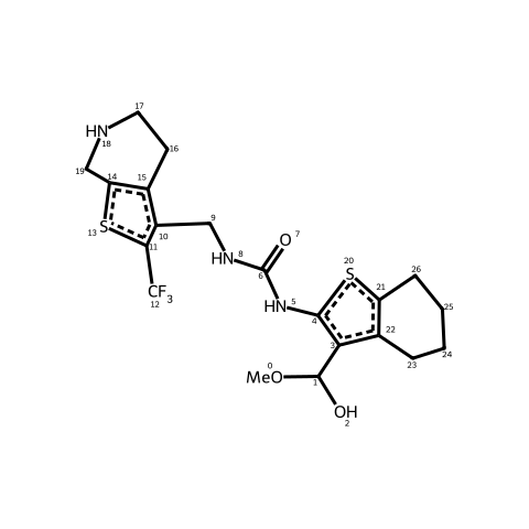 COC(O)c1c(NC(=O)NCc2c(C(F)(F)F)sc3c2CCNC3)sc2c1CCCC2